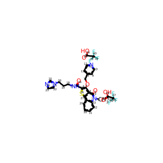 Cn1c(=O)c2c(OCc3ccncc3)c(C(=O)NCCCn3ccnc3)sc2c2ccccc21.O=C(O)C(F)(F)F.O=C(O)C(F)(F)F